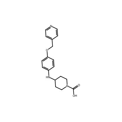 O=C(O)N1CCC(Nc2ccc(OCc3ccncc3)cc2)CC1